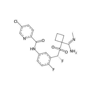 C/N=C(/N)C1(S(=O)(=O)[C@H](F)c2cc(NC(=O)c3ccc(Cl)cn3)ccc2F)CCC1